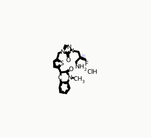 CN1C(=O)C(c2ccc(Cn3cnn(C/C(=C/F)CN)c3=O)s2)Cc2ccccc21.Cl